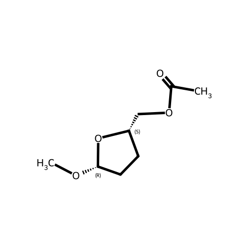 CO[C@H]1CC[C@@H](COC(C)=O)O1